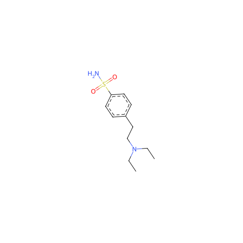 CCN(CC)CCc1ccc(S(N)(=O)=O)cc1